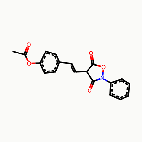 CC(=O)Oc1ccc(C=CC2C(=O)ON(c3ccccc3)C2=O)cc1